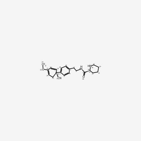 N#C[C@]1(c2ccc(CCNC(=O)[C@@H]3CCCCN3)cc2)C=CC(OC(F)(F)F)=CC1